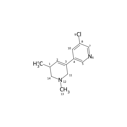 CC1C=C(c2cncc(Cl)c2)CN(C)C1